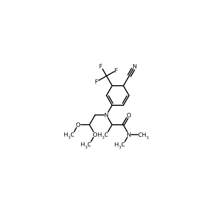 COC(CN(C1=CC(C(F)(F)F)C(C#N)C=C1)C(C)C(=O)N(C)C)OC